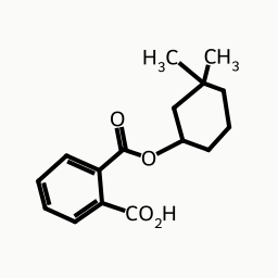 CC1(C)CCCC(OC(=O)c2ccccc2C(=O)O)C1